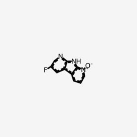 [O-][n+]1cccc2c3cc(F)cnc3[nH]c21